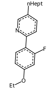 CCCCCCCc1ccc(-c2ccc(OCC)cc2F)nc1